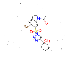 CC(=O)N1CCc2cc(Br)c(S(=O)(=O)n3cc(C4(O)CCCCC4)nn3)cc21